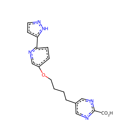 O=C(O)c1ncc(CCCCOc2ccc(-c3ccn[nH]3)nc2)cn1